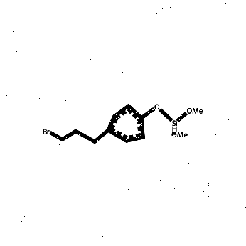 CO[SiH](OC)Oc1ccc(CCCBr)cc1